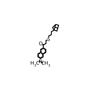 CN(C)c1ccc2cc(C(=O)CCSCCCC34CC5CC(C3)C54)ccc2c1